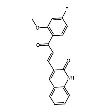 COc1cc(F)ccc1C(=O)C=Cc1cc2ccccc2[nH]c1=O